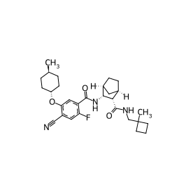 CC1(CNC(=O)[C@H]2[C@@H]3CC[C@@H](C3)[C@H]2NC(=O)c2cc(O[C@H]3CC[C@H](C)CC3)c(C#N)cc2F)CCC1